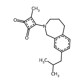 Cc1c(N2CCCc3ccc(CC(C)C)cc3C2)c(=O)c1=O